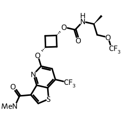 CNC(=O)c1csc2c(C(F)(F)F)cc(O[C@H]3C[C@@H](OC(=O)N[C@@H](C)COC(F)(F)F)C3)nc12